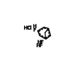 Cl.F.F.F.c1cc2cc(c1)C2